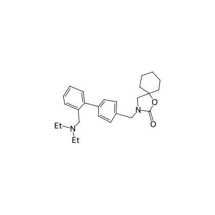 CCN(CC)Cc1ccccc1-c1ccc(CN2CC3(CCCCC3)OC2=O)cc1